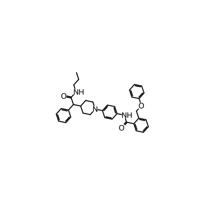 CCCNC(=O)C(c1ccccc1)C1CCN(c2ccc(NC(=O)c3ccccc3COc3ccccc3)cc2)CC1